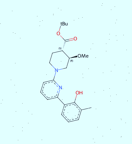 CO[C@H]1CN(c2cccc(-c3cccc(C)c3O)n2)CC[C@@H]1C(=O)OC(C)(C)C